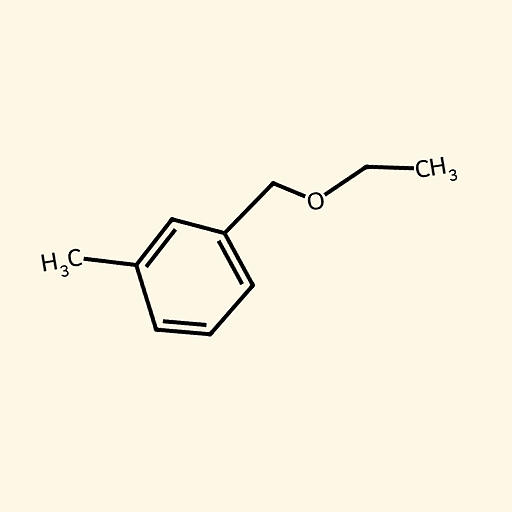 CCOCc1cccc(C)c1